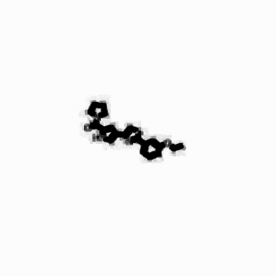 CCOc1cccc(-c2nc(-c3c[nH]c(C(=O)N4CCCC4)c3)cs2)c1